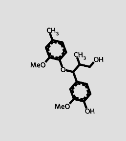 COc1cc(C(Oc2ccc(C)cc2OC)C(C)CO)ccc1O